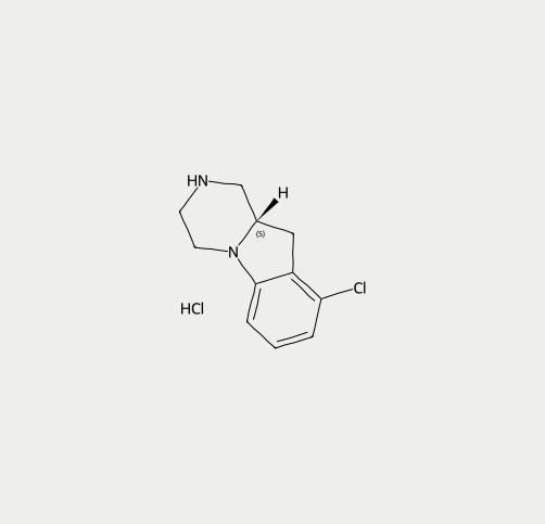 Cl.Clc1cccc2c1C[C@H]1CNCCN21